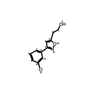 OCCc1cc(-c2cccc(Cl)c2)no1